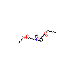 CCCCCC/C=C\COC(=O)CCCc1cccc(CN(CCCCCCCC(=O)OCC(C)CCCCCC)C(=O)OC(C)(C)C)c1